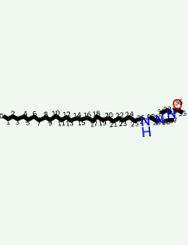 CCCCCCCCCCCCCCCCCCCCCCCCCCCNCCN1CCN(C(C)=O)CC1